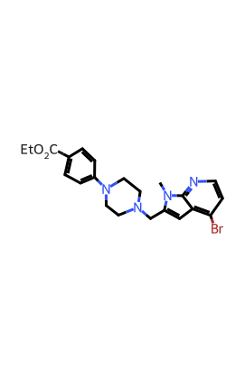 CCOC(=O)c1ccc(N2CCN(Cc3cc4c(Br)ccnc4n3C)CC2)cc1